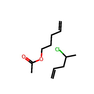 C=CCC(C)Cl.C=CCCCOC(C)=O